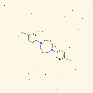 N#Cc1ccc(N2COCN(c3ccc(C#N)cc3)COC2)cc1